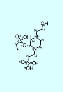 CCS(=O)(=O)O.O=S(=O)(O)CCN1CCN(CCO)CC1